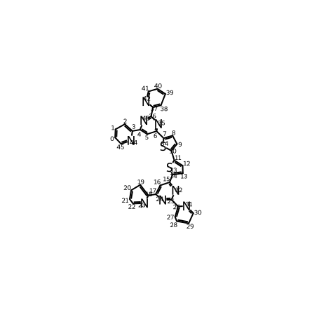 c1ccc(-c2cc(-c3ccc(-c4ccc(-c5cc(-c6ccccn6)nc(-c6ccccn6)n5)s4)s3)nc(-c3ccccn3)n2)nc1